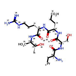 CC(C)C[C@H](N)C(=O)N[C@@H](CO)C(=O)N[C@@H](CCC(=O)O)C(=O)N[C@@H](CCCNC(=N)N)C(=O)N[C@H](C(=O)O)[C@@H](C)O